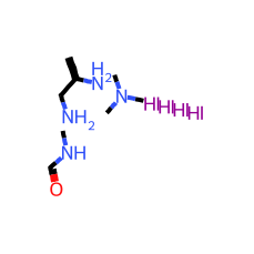 C=C(N)CN.CN(C)C.CNC=O.I.I.I.I